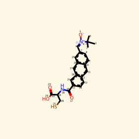 CC(C)(C)/[N+]([O-])=C\c1ccc2cc3ccc(C(=O)NC(CS)C(=O)O)cc3cc2c1